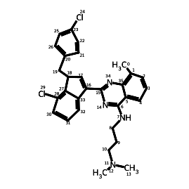 Cc1cccc2c(NCCCN(C)C)nc(C3=CC(Cc4ccc(Cl)cc4)c4c(Cl)cccc43)nc12